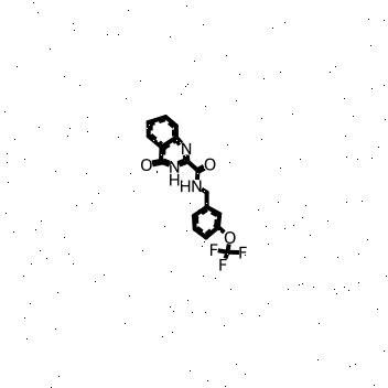 O=C(NCc1cccc(OC(F)(F)F)c1)c1nc2ccccc2c(=O)[nH]1